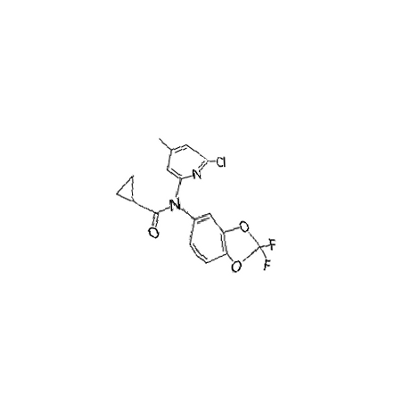 Cc1cc(Cl)nc(N(C(=O)C2CC2)c2ccc3c(c2)OC(F)(F)O3)c1